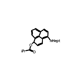 CCCCCCCc1ccc2cccc3c2c1C=CC3OC(=O)C(C)C